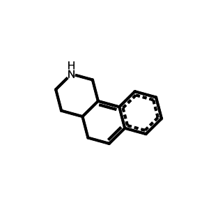 C1=c2ccccc2=C2CNCCC2C1